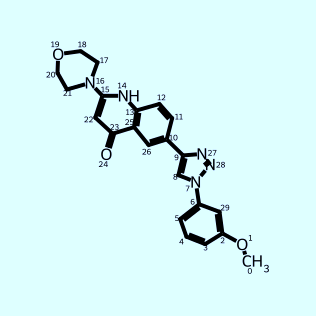 COc1cccc(-n2cc(-c3ccc4[nH]c(N5CCOCC5)cc(=O)c4c3)nn2)c1